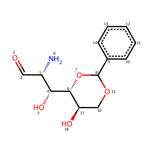 N[C@@H](C=O)[C@@H](O)[C@@H]1OC(c2ccccc2)OC[C@H]1O